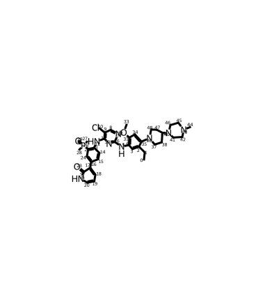 CCc1cc(Nc2ncc(Cl)c(Nc3ccc(-c4ccc[nH]c4=O)cc3P(C)(C)=O)n2)c(OC)cc1N1CCC(N2CCN(C)CC2)CC1